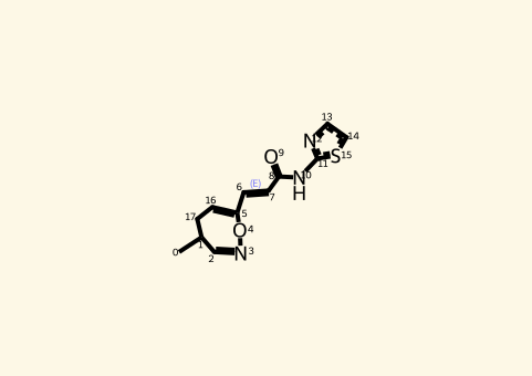 CC1C=NOC(/C=C/C(=O)Nc2nccs2)=CC1